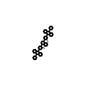 c1ccc(-c2c3ccccc3c(-c3ccc4c(c3)Sc3ccc5c6c(ccc-4c36)-c3ccc(-c4c6ccccc6c(-c6ccccc6)c6ccccc46)cc3S5)c3ccccc23)cc1